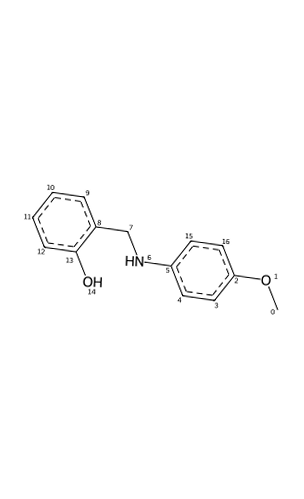 COc1ccc(NCc2ccccc2O)cc1